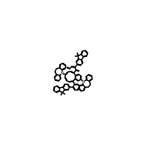 C=C/C=C(\C(=C)c1ccc(N2c3ccccc3CCc3ccccc32)cccc(-c2ccccc2-c2ccc3c(c2)C(C)(C)c2ccccc2-3)c2cc(N3c4ccccc4CCc4ccccc43)ccc12)c1ccc2c(c1)C(C)(C)c1ccccc1-2